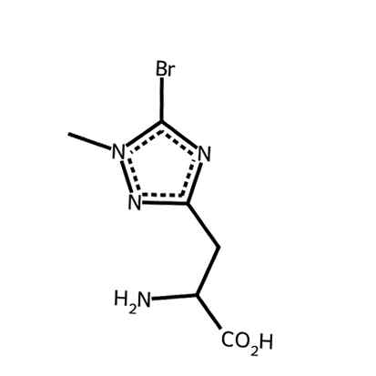 Cn1nc(CC(N)C(=O)O)nc1Br